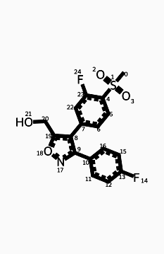 CS(=O)(=O)c1ccc(-c2c(-c3ccc(F)cc3)noc2CO)cc1F